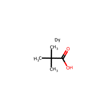 CC(C)(C)C(=O)O.[Dy]